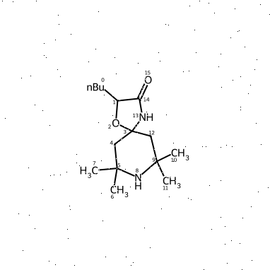 CCCCC1OC2(CC(C)(C)NC(C)(C)C2)NC1=O